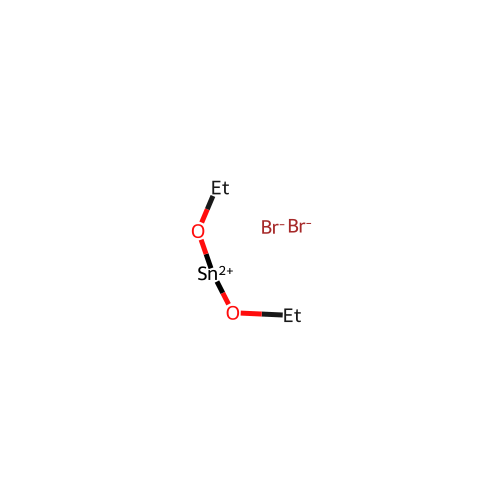 CC[O][Sn+2][O]CC.[Br-].[Br-]